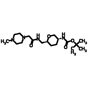 CN1CCN(CC(=O)NC[C@@H]2CC[C@@H](NC(=O)OC(C)(C)C)CO2)CC1